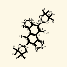 CC1(C)CB(c2c(F)c3c4nsnc4c(B4OC(C)(C)C(C)(C)O4)c(F)c3c3nsnc23)OC1(C)C